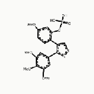 COc1ccc(-c2csnc2-c2cc(OC)c(OC)c(OC)c2)c(OP(=O)(O)O)c1